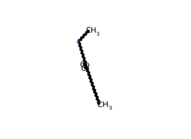 CCCCCCCCC=CCCCCCCCCCCCC(=O)OC(=O)CCCCCCCCCCC/C=C\CCCCCCCC